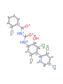 O=C(NC(=O)c1ccccc1Cl)Nc1cc(Cl)c(-c2ncc(Cl)cc2Cl)c(Cl)c1O